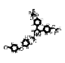 O=C(Nc1ccc(Oc2ccc(Cl)cc2)cc1)N1CC(c2ccc3c(c2)OC(F)(F)O3)C(c2ccc(OC(F)F)cc2)=N1